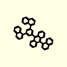 c1ccc2c(-c3cc(-c4cccc5ccccc45)cc(-c4c5ccccc5c(-c5cccc6ccccc56)c5ccccc45)c3)cccc2c1